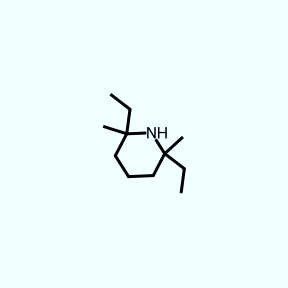 CCC1(C)CCCC(C)(CC)N1